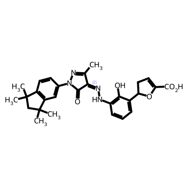 CC1=NN(c2ccc3c(c2)C(C)(C)CC3(C)C)C(=O)/C1=N\Nc1cccc(C2CC=C(C(=O)O)O2)c1O